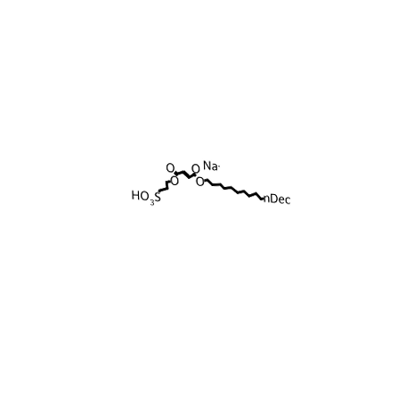 CCCCCCCCCCCCCCCCCCCCOC(=O)C=CC(=O)OCCCS(=O)(=O)O.[Na]